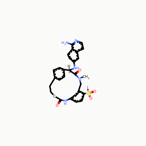 CN1Cc2cc(ccc2S(=O)(=O)I)NC(=O)CCCc2ccc(cc2)[C@@H](Nc2ccc3c(N)nccc3c2)C1=O